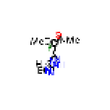 CCn1ncc(Nc2ncc(CCc3cc(C(=O)NC)cc(OC)c3F)cn2)c1C